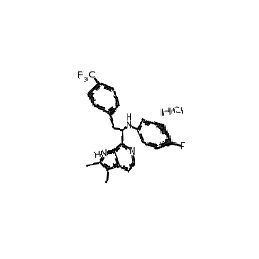 Cc1[nH]c2c(C(Cc3ccc(C(F)(F)F)cc3)Nc3ccc(F)cc3)nccc2c1C.Cl